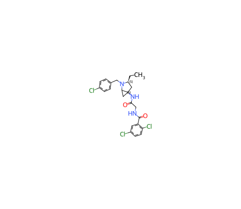 CC[C@H]1C[C@]2(NC(=O)CNC(=O)c3cc(Cl)ccc3Cl)CC2N1Cc1ccc(Cl)cc1